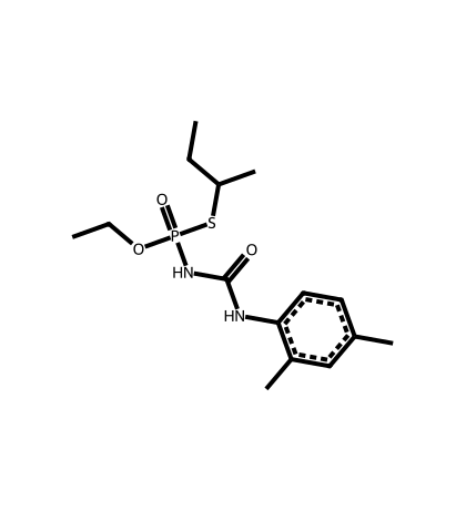 CCOP(=O)(NC(=O)Nc1ccc(C)cc1C)SC(C)CC